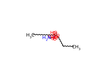 CCCCCCCC/C=C\CCCCCCCC(=O)O[C@@H](CO)C(OP(=O)(O)OCCN)C(=O)CCCCCCCCCCCCCCCCC